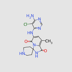 Cc1cc(Nc2ncnc(N)c2Cl)c(=O)n2c1C(=O)NC21CCNCC1